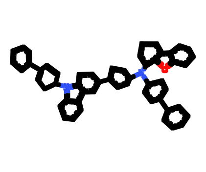 C1=CC(n2c3ccccc3c3cc(-c4ccc(N(c5ccc(-c6ccccc6)cc5)c5cccc6c5oc5ccccc56)cc4)ccc32)CC=C1c1ccccc1